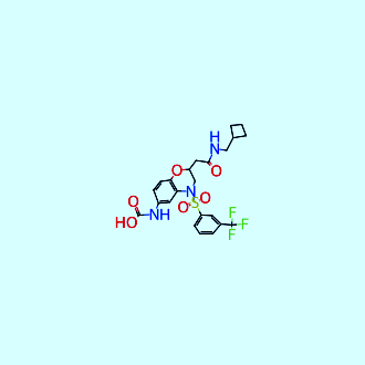 O=C(O)Nc1ccc2c(c1)N(S(=O)(=O)c1cccc(C(F)(F)F)c1)CC(CC(=O)NCC1CCC1)O2